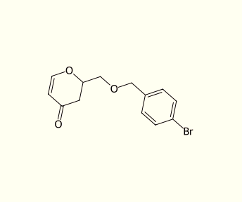 O=C1C=COC(COCc2ccc(Br)cc2)C1